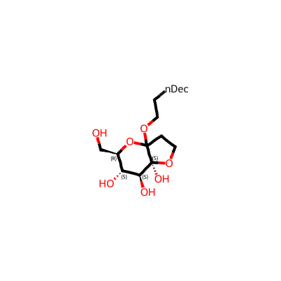 CCCCCCCCCCCCOC12CCO[C@@]1(O)[C@@H](O)[C@H](O)[C@@H](CO)O2